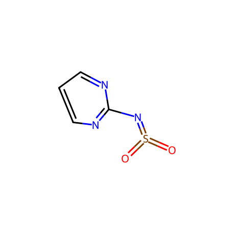 O=S(=O)=Nc1ncccn1